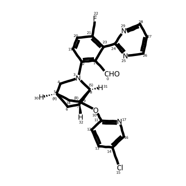 O=Cc1c(N2C[C@@H]3CC[C@H]2[C@H](Oc2ccc(Cl)cn2)C3)ccc(F)c1-c1ncccn1